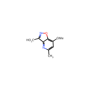 COc1cc(C)nc2c(C(=O)O)noc12